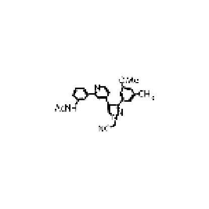 COc1cc(C)cc(-c2nn(CC#N)cc2-c2ccnc(-c3cccc(NC(C)=O)c3)c2)c1